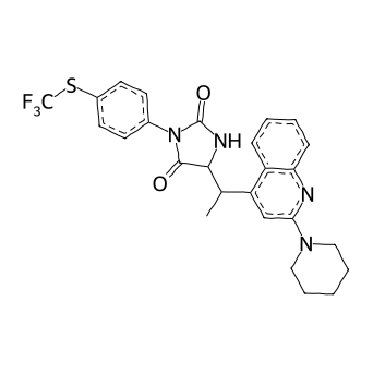 CC(c1cc(N2CCCCC2)nc2ccccc12)C1NC(=O)N(c2ccc(SC(F)(F)F)cc2)C1=O